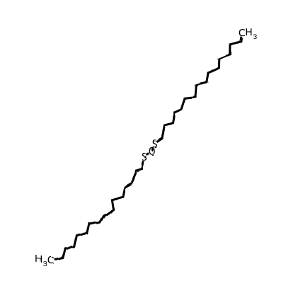 CCCCCCCCCCCCCCCCSOSCCCCCCCCCCCCCCCC